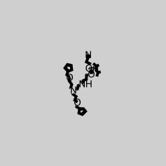 CC(C)N(C(C)C)P(OCCC#N)OCCCNCCN(CCCOCC1=CC=CC1)CCCOCC1=CC=CC1